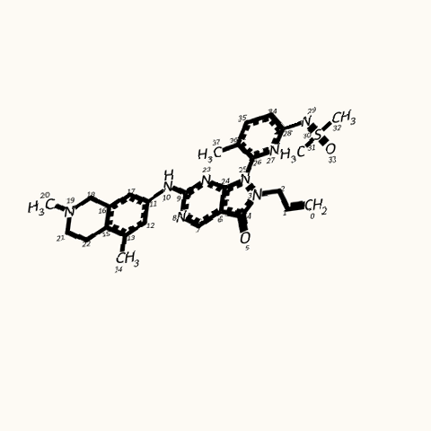 C=CCn1c(=O)c2cnc(Nc3cc(C)c4c(c3)CN(C)CC4)nc2n1-c1nc(N=S(C)(C)=O)ccc1C